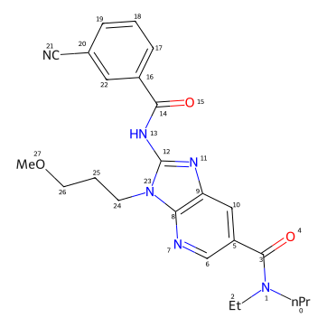 CCCN(CC)C(=O)c1cnc2c(c1)nc(NC(=O)c1cccc(C#N)c1)n2CCCOC